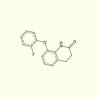 O=C1CCc2cccc(Oc3ccccc3F)c2N1